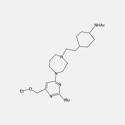 CCOCc1cc(N2CCCN(CCC3CCC(NC(C)=O)CC3)CC2)nc(C(C)(C)C)n1